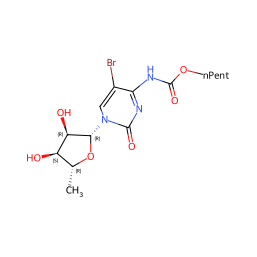 CCCCCOC(=O)Nc1nc(=O)n([C@@H]2O[C@H](C)[C@@H](O)[C@H]2O)cc1Br